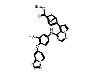 Cc1cc(Nc2ncnn3ccc(C4=CC5CCC4CN5C(=O)OC(C)(C)C)c23)ccc1Oc1ccn2ncnc2c1